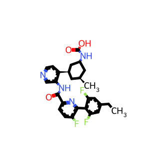 CCc1cc(F)c(-c2nc(C(=O)Nc3cnccc3[C@H]3CC(NC(=O)O)C[C@@H](C)C3)ccc2F)c(F)c1